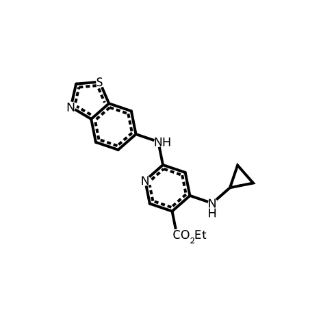 CCOC(=O)c1cnc(Nc2ccc3ncsc3c2)cc1NC1CC1